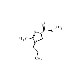 CCCN1CC(C(=O)OC)N=C1C